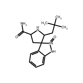 CC(C)(C)CC1NC(C(N)=O)CC12c1ccccc1N[PH]2=O